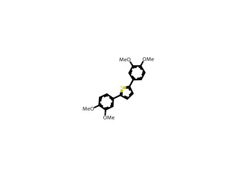 COc1ccc(-c2ccc(-c3ccc(OC)c(OC)c3)s2)cc1OC